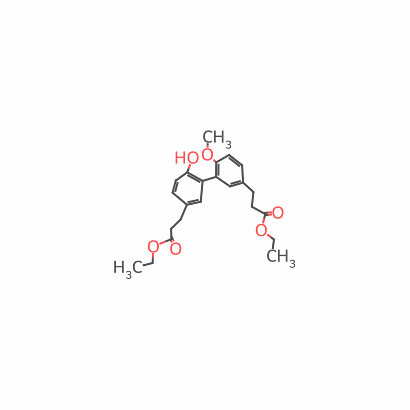 CCOC(=O)CCc1ccc(O)c(-c2cc(CCC(=O)OCC)ccc2OC)c1